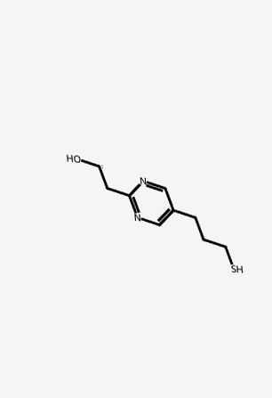 O[C]Cc1ncc(CCCS)cn1